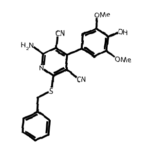 COc1cc(-c2c(C#N)c(N)nc(SCc3ccccc3)c2C#N)cc(OC)c1O